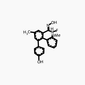 COc1ccccc1-c1c(C(=NO)NF)cc(C)cc1-c1ccc(O)cc1